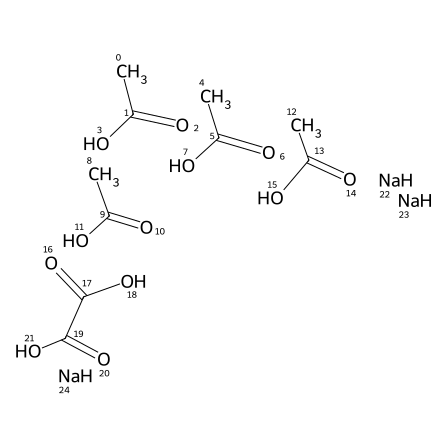 CC(=O)O.CC(=O)O.CC(=O)O.CC(=O)O.O=C(O)C(=O)O.[NaH].[NaH].[NaH]